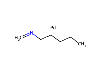 C=NCCCCC.[Pd]